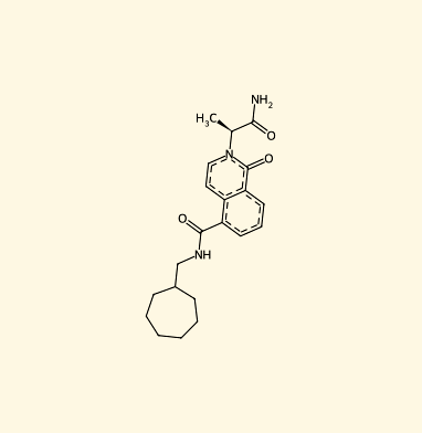 C[C@@H](C(N)=O)n1ccc2c(C(=O)NCC3CCCCCC3)cccc2c1=O